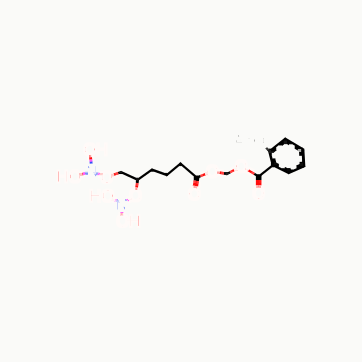 CC(=O)Oc1ccccc1C(=O)OCOC(=O)CCCC(CON(O)O)ON(O)O